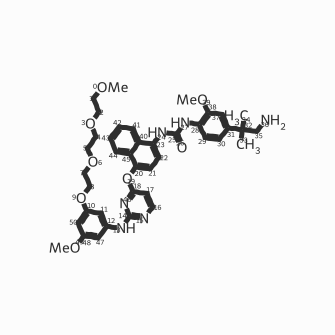 COCCOCCOCCOc1cc(Nc2nccc(Oc3ccc(NC(=O)Nc4ccc(C(C)(C)CN)cc4OC)c4ccccc34)n2)cc(OC)c1